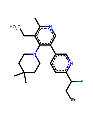 Cc1ncc(-c2ccc(C(F)CC(C)C)nc2)c(N2CCC(C)(C)CC2)c1CC(=O)O